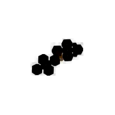 Cc1cccc(C)c1-c1c2ccccc2c(-c2cccc3c2sc2ccc(-c4c5ccccc5c(-c5ccccc5)c5ccccc45)cc23)c2ccccc12